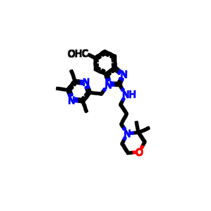 Cc1nc(C)c(Cn2c(NCCCN3CCOCC3(C)C)nc3ccc(C=O)cc32)nc1C